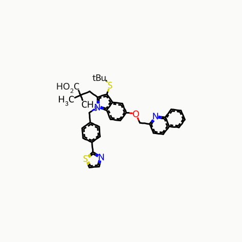 CC(C)(C)Sc1c(CC(C)(C)C(=O)O)n(Cc2ccc(-c3nccs3)cc2)c2ccc(OCc3ccc4ccccc4n3)cc12